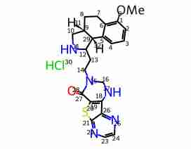 COc1cccc2c1CC[C@H]1CNC(CCN3CNc4c(sc5nccnc45)C3=O)[C@@H]21.Cl